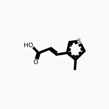 Cc1cscc1/C=C/C(=O)O